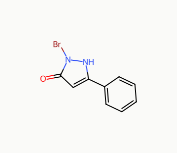 O=c1cc(-c2ccccc2)[nH]n1Br